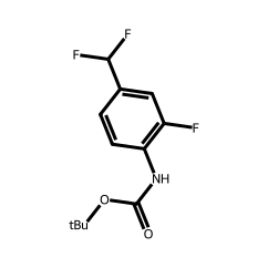 CC(C)(C)OC(=O)Nc1ccc(C(F)F)cc1F